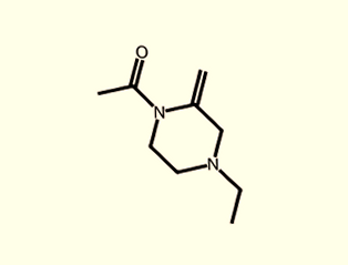 C=C1CN(CC)CCN1C(C)=O